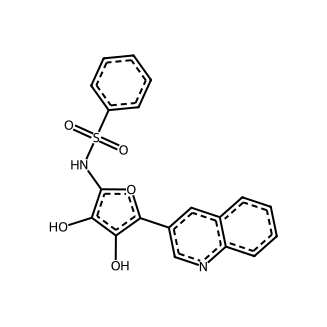 O=S(=O)(Nc1oc(-c2cnc3ccccc3c2)c(O)c1O)c1ccccc1